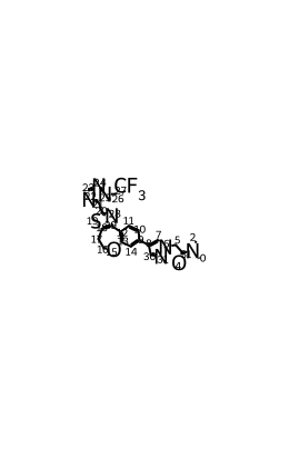 CN(C)C(=O)Cn1cc(-c2ccc3c(c2)OCCc2sc(-c4ncnn4CC(F)(F)F)nc2-3)cn1